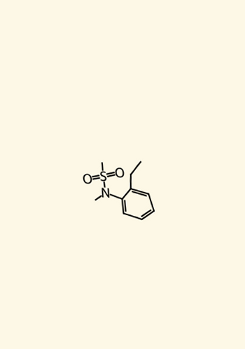 CCc1ccccc1N(C)S(C)(=O)=O